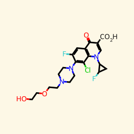 O=C(O)c1cn(C2CC2F)c2c(Cl)c(N3CCN(CCOCCO)CC3)c(F)cc2c1=O